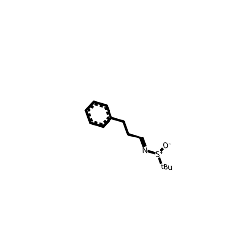 CC(C)(C)[S+]([O-])N=CCCc1ccccc1